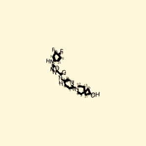 O=C(Nc1ccc(N2CCC3(CC2)CC(O)C3)nc1)c1nnc(Nc2ccc(F)c(F)c2)o1